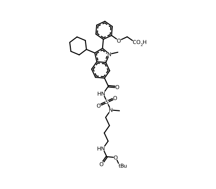 CN(CCCCNC(=O)OC(C)(C)C)S(=O)(=O)NC(=O)c1ccc2c(C3CCCCC3)c(-c3ccccc3OCC(=O)O)n(C)c2c1